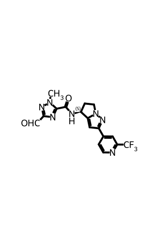 Cn1nc(C=O)nc1C(=O)N[C@H]1CCn2nc(-c3ccnc(C(F)(F)F)c3)cc21